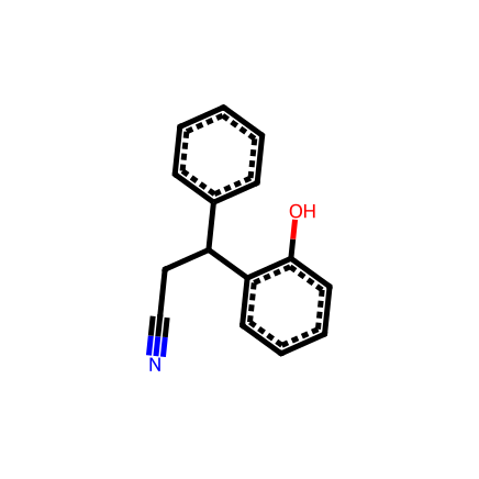 N#CCC(c1ccccc1)c1ccccc1O